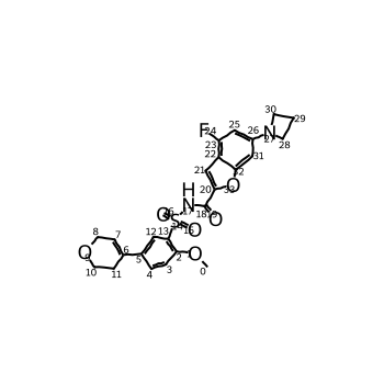 COc1ccc(C2=CCOCC2)cc1S(=O)(=O)NC(=O)c1cc2c(F)cc(N3CCC3)cc2o1